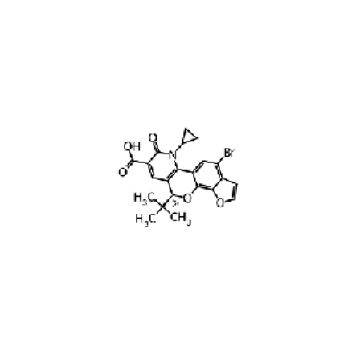 CC(C)(C)[C@@H]1Oc2c(cc(Br)c3ccoc23)-c2c1cc(C(=O)O)c(=O)n2C1CC1